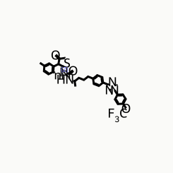 CCCc1ccc(C)cc1C1C(=O)CS/C1=N\C(=O)NC(C)CCCc1ccc(-c2ncn(-c3ccc(OC(F)(F)F)cc3)n2)cc1